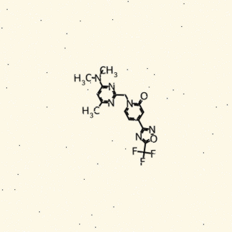 Cc1cc(N(C)C)nc(Cn2ccc(-c3noc(C(F)(F)F)n3)cc2=O)n1